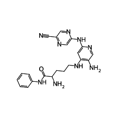 N#Cc1cnc(Nc2cc(NCCCC(N)C(=O)Nc3ccccc3)c(N)cn2)cn1